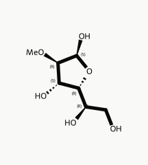 CO[C@@H]1[C@@H](O)[C@@H]([C@H](O)CO)O[C@@H]1O